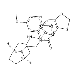 COc1cnc2ncc(=O)n(CCN3[C@@H]4CC[C@H]3CC(NCc3cc5c(cn3)OCS5)C4)c2c1